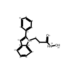 O=C(CCn1c(-c2ccccc2)cc2ccccc21)NO